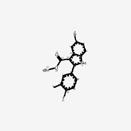 Cc1cc(-c2[nH]c3ccc(Br)cc3c2C(=O)OC(C)(C)C)ccc1F